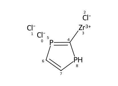 [Cl-].[Cl-].[Cl-].[Zr+3][c]1pcc[pH]1